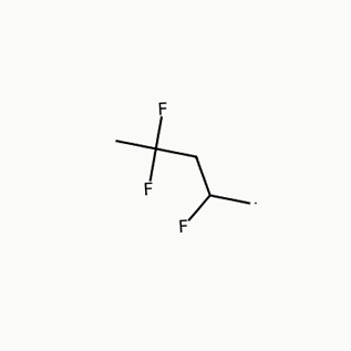 [CH2]C(F)CC(C)(F)F